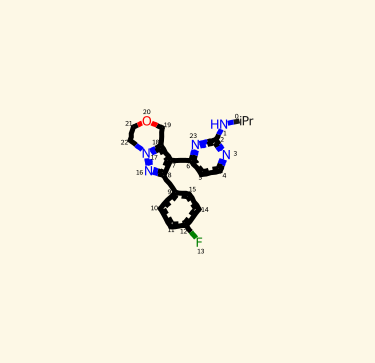 CC(C)Nc1nccc(-c2c(-c3ccc(F)cc3)nn3c2COCC3)n1